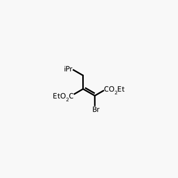 CCOC(=O)C(Br)=C(CC(C)C)C(=O)OCC